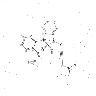 CN(C)CC#CCN1c2ccccc2N(c2ccccc2F)S1(=O)=O.Cl